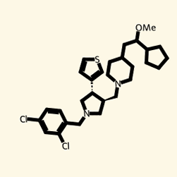 COC(CC1CCN(C[C@H]2CN(Cc3ccc(Cl)cc3Cl)C[C@@H]2c2ccsc2)CC1)C1CCCC1